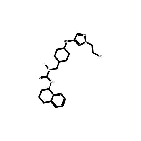 CCN(CC1CCC(Nc2cnn(CCO)c2)CC1)C(=O)N[C@@H]1CCCc2ccccc21